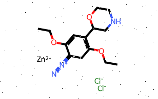 CCOC1=CC(C2CNCCO2)=C(OCC)CC1=[N+]=[N-].[Cl-].[Cl-].[Zn+2]